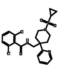 O=C(NCC1(c2ccccn2)CCN(S(=O)(=O)C2CC2)CC1)c1c(Cl)cccc1Cl